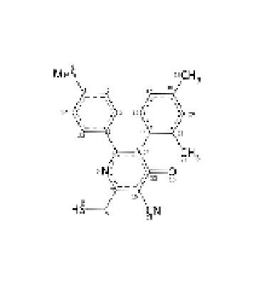 CSc1ccc(-c2nc(CS)c(C#N)c(=O)n2-c2ccc(C)cc2C)cc1